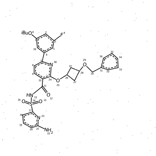 CC(C)COc1cc(F)cc(-c2ccc(C(=O)NS(=O)(=O)c3cccc(N)n3)c(OC3CC(OCc4ccccc4)C3)n2)c1